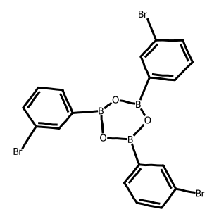 Brc1cccc(B2OB(c3cccc(Br)c3)OB(c3cccc(Br)c3)O2)c1